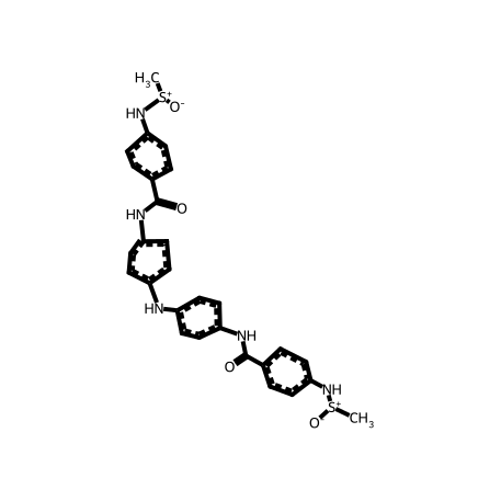 C[S+]([O-])Nc1ccc(C(=O)Nc2ccc(Nc3ccc(NC(=O)c4ccc(N[S+](C)[O-])cc4)cc3)cc2)cc1